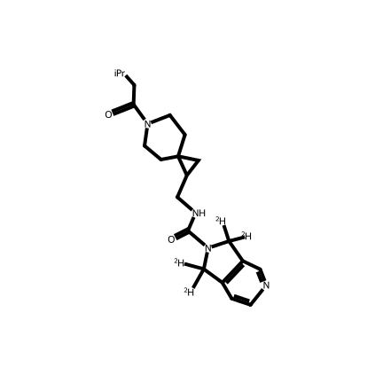 [2H]C1([2H])c2ccncc2C([2H])([2H])N1C(=O)NCC1CC12CCN(C(=O)CC(C)C)CC2